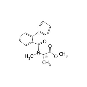 COC(=O)[C@H](C)N(C)C(=O)c1ccccc1-c1ccccc1